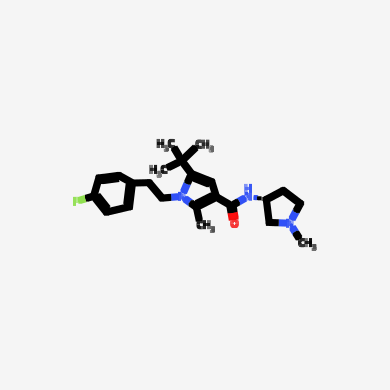 Cc1c(C(=O)N[C@@H]2CCN(C)C2)cc(C(C)(C)C)n1CCc1ccc(F)cc1